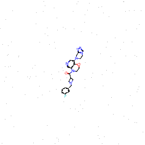 O=C(C1CN(Cc2cccc(F)c2)C1)N1CCOc2c(N3CCn4cnnc4C3)cncc21